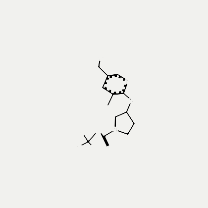 CC(C)(C)OC(=O)N1CCC(Nc2ncc(CO)cc2F)C1